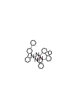 c1ccc(-c2ccc3c4ccccc4n(-c4nc(-c5ccccc5)nc(-c5cccc6oc7cccc(-c8ccccc8)c7c56)n4)c3c2)cc1